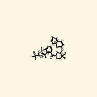 Cc1c[nH]c2cccc(C(=O)N3CCC(F)(F)C(Oc4ccc5ccccc5n4)C3)c12.O=C(O)C(F)(F)F